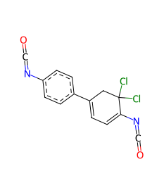 O=C=NC1=CC=C(c2ccc(N=C=O)cc2)CC1(Cl)Cl